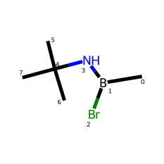 CB(Br)NC(C)(C)C